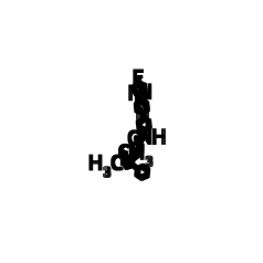 Cc1cc(-c2ccccc2)c(COCC(=O)Nc2ccc(N3CCN(c4ncc(F)cn4)CC3)cc2)n1C